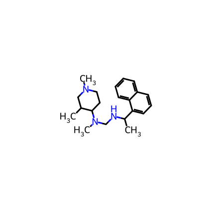 CC(NCN(C)C1CCN(C)CC1C)c1cccc2ccccc12